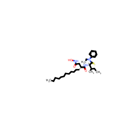 CCCCCCCCCCCC[C@H](CC(=O)NO)C(=O)N[C@H](C(=S)N(CC)c1ccccc1)C(C)CC